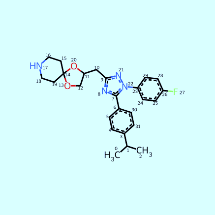 CC(C)c1ccc(-c2nc(CC3COC4(CCNCC4)O3)nn2-c2ccc(F)cc2)cc1